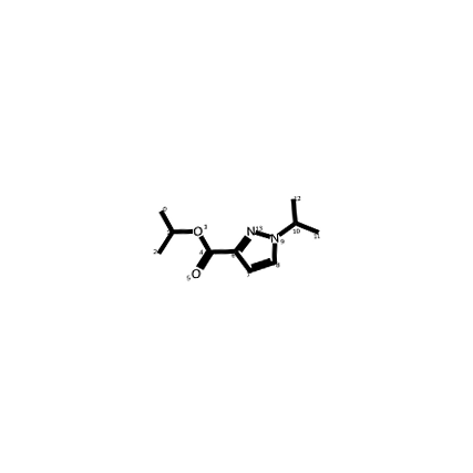 CC(C)OC(=O)c1ccn(C(C)C)n1